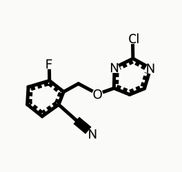 N#Cc1cccc(F)c1COc1ccnc(Cl)n1